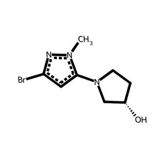 Cn1nc(Br)cc1N1CC[C@H](O)C1